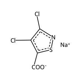 O=C([O-])c1snc(Cl)c1Cl.[Na+]